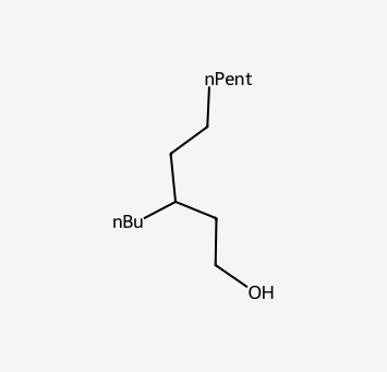 CCCCCCCC(CCO)CCCC